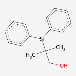 CC(C)(CO)[Si](c1ccccc1)c1ccccc1